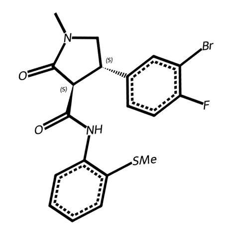 CSc1ccccc1NC(=O)[C@H]1C(=O)N(C)C[C@@H]1c1ccc(F)c(Br)c1